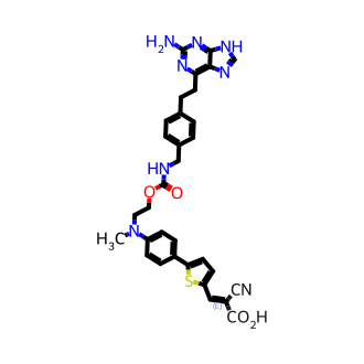 CN(CCOC(=O)NCc1ccc(CCc2nc(N)nc3[nH]cnc23)cc1)c1ccc(-c2ccc(/C=C(\C#N)C(=O)O)s2)cc1